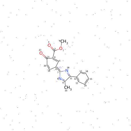 COC(=O)C1=C/C(=C2/N=C(C)C(c3ccccc3)=N2)C=CC1=O